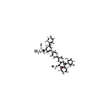 CC(C)c1cc(-c2ccc(-c3cc(-c4ccccc4)cc(C(C)(C)C)c3)cc2)ccc1N(c1ccccc1)c1ccccc1